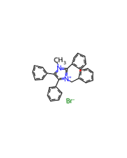 Cn1c(-c2ccccc2)c(-c2ccccc2)[n+](Cc2ccccc2)c1-c1ccccc1.[Br-]